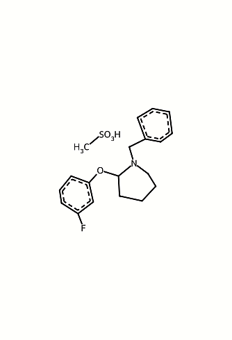 CS(=O)(=O)O.Fc1cccc(OC2CCCCN2Cc2ccccc2)c1